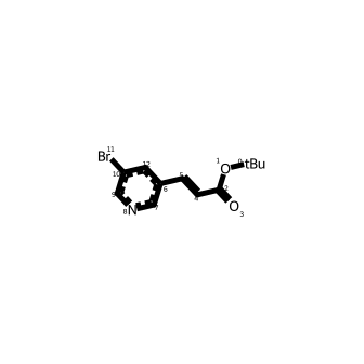 CC(C)(C)OC(=O)C=Cc1cncc(Br)c1